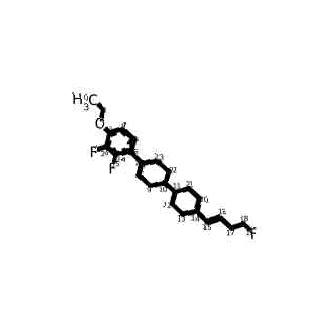 CCOc1ccc(C2CCC(C3CCC(/C=C/CCF)CC3)CC2)c(F)c1F